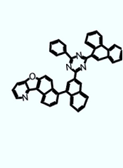 c1ccc(-c2nc(-c3cc(-c4cccc5c4ccc4oc6cccnc6c45)c4ccccc4c3)nc(-c3cc4ccccc4c4ccccc34)n2)cc1